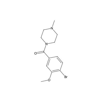 COc1cc(C(=O)N2CCN(C)CC2)ccc1Br